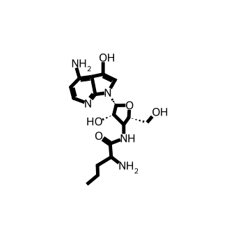 CCCC(N)C(=O)NC1[C@@H](CO)O[C@@H](n2cc(O)c3c(N)ccnc32)[C@H]1O